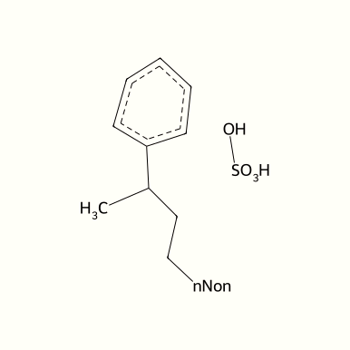 CCCCCCCCCCCC(C)c1ccccc1.O=S(=O)(O)O